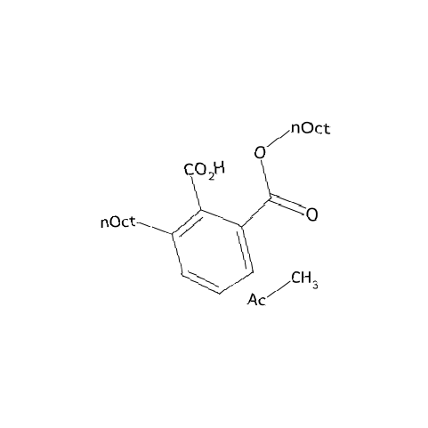 CC(C)=O.CCCCCCCCOC(=O)c1cccc(CCCCCCCC)c1C(=O)O